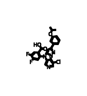 CC(C)Oc1cccc(-c2cc3n(-c4cc(F)c(F)cc4C(=O)O)c4cncc(Cl)c4n3n2)c1